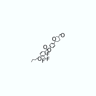 CCCCOc1ccc(C(=O)Oc2ccc(C3CCC(C=O)CO3)cc2)c(F)c1C(F)F